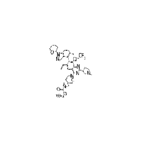 C=Cc1cc2c(N3CCC4(CC3)CN(C(=O)OC(C)(C)C)C4)nc(C3CCN(C)C3)nc2c(OCC(F)(F)F)c1-c1c(C)ccc2c1cnn2C1CCCCO1